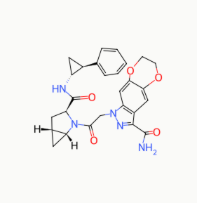 NC(=O)c1nn(CC(=O)N2[C@@H]3C[C@@H]3C[C@H]2C(=O)N[C@@H]2C[C@H]2c2ccccc2)c2cc3c(cc12)OCCO3